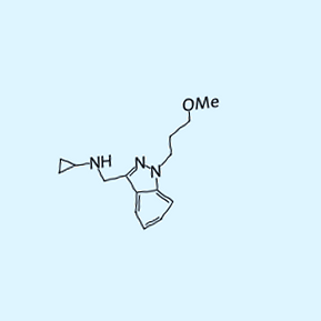 COCCCn1nc(CNC2CC2)c2ccccc21